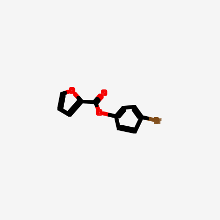 O=C(Oc1ccc(Br)cc1)c1ccco1